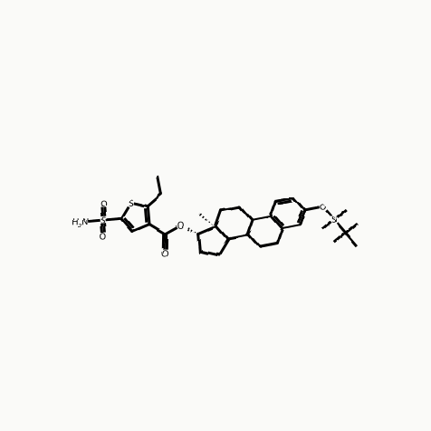 CCc1sc(S(N)(=O)=O)cc1C(=O)O[C@H]1CCC2C3CCc4cc(O[Si](C)(C)C(C)(C)C)ccc4C3CC[C@@]21C